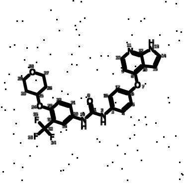 O=C(Nc1ccc(Oc2ccnc3[nH]ccc23)cc1)Nc1ccc(OC2CCOCC2)c(C(F)(F)F)c1